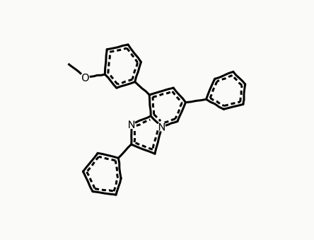 COc1cccc(-c2cc(-c3ccccc3)cn3cc(-c4ccccc4)nc23)c1